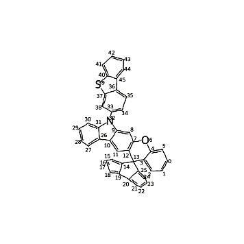 c1ccc2c(c1)Oc1cc3c(cc1C21c2ccccc2-c2ccccc21)c1ccccc1n3-c1ccc2c(c1)sc1ccccc12